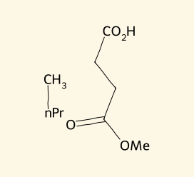 CCCC.COC(=O)CCC(=O)O